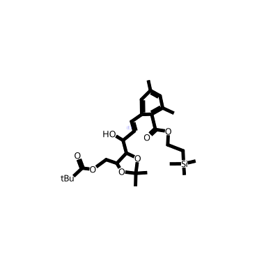 Cc1cc(C)c(C(=O)OCC[Si](C)(C)C)c(/C=C/C(O)C2OC(C)(C)OC2COC(=O)C(C)(C)C)c1